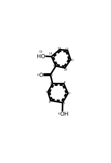 O=C(c1ccc(O)cc1)c1ccccc1O